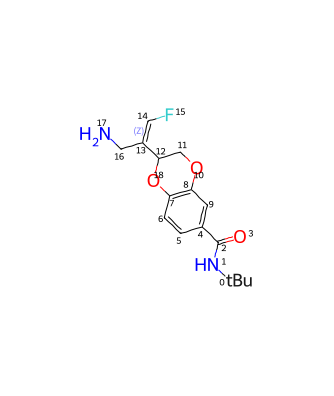 CC(C)(C)NC(=O)c1ccc2c(c1)OCC(/C(=C\F)CN)O2